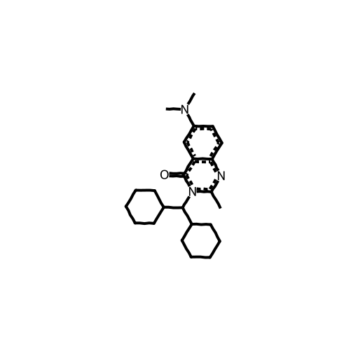 Cc1nc2ccc(N(C)C)cc2c(=O)n1C(C1CCCCC1)C1CCCCC1